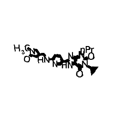 CCCn1c(=O)n(C2CC2)c(=O)c2[nH]c(-c3ccc(NCC4CC(=O)N(C)C4)nc3)nc21